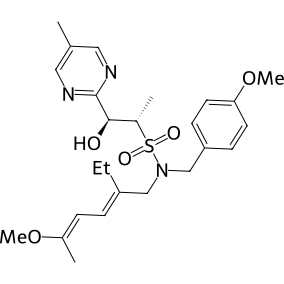 CC/C(=C\C=C(/C)OC)CN(Cc1ccc(OC)cc1)S(=O)(=O)[C@@H](C)[C@@H](O)c1ncc(C)cn1